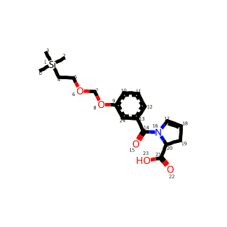 C[Si](C)(C)CCOCOc1cccc(C(=O)N2C=CCC2C(=O)O)c1